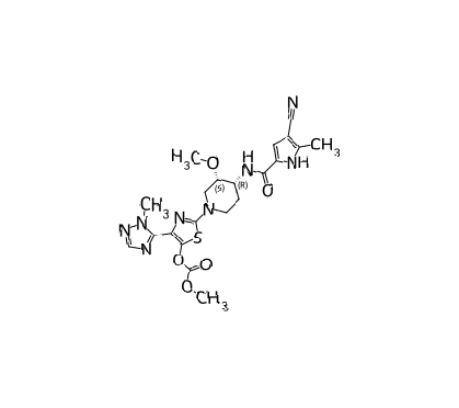 COC(=O)Oc1sc(N2CC[C@@H](NC(=O)c3cc(C#N)c(C)[nH]3)[C@@H](OC)C2)nc1-c1ncnn1C